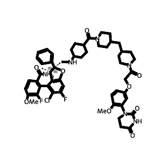 COc1ccc(OCC(=O)N2CCC(CC3CCN(C(=O)C4CCC(NC[C@]5(c6ccccc6)Oc6cc(F)c(Cl)c(-c7c(C(N)=O)ccc(OC)c7F)c6[C@@H]5C)CC4)CC3)CC2)cc1N1CCC(=O)NC1=O